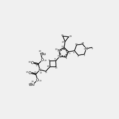 CN1CCC(c2cn(C3CC(CN(C(=O)OC(C)(C)C)C(=O)OC(C)(C)C)C3)nc2C2CC2)CC1